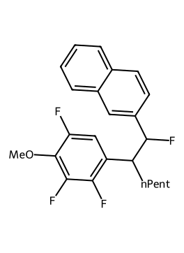 CCCCCC(c1cc(F)c(OC)c(F)c1F)C(F)c1ccc2ccccc2c1